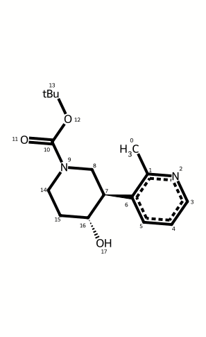 Cc1ncccc1[C@@H]1CN(C(=O)OC(C)(C)C)CC[C@H]1O